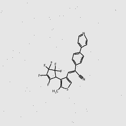 Cc1scc(C=C(C#N)c2ccc(-c3ccncc3)cc2)c1C1C(F)=C(F)C(F)(F)C1(F)F